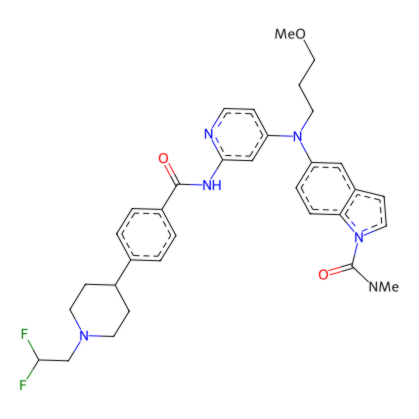 CNC(=O)n1ccc2cc(N(CCCOC)c3ccnc(NC(=O)c4ccc(C5CCN(CC(F)F)CC5)cc4)c3)ccc21